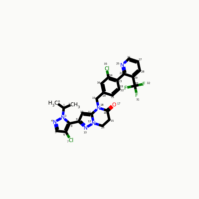 CC(C)n1ncc(Cl)c1-c1cc2n(n1)CCC(=O)N2Cc1ccc(-c2ncccc2C(F)(F)F)c(Cl)c1